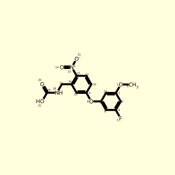 COc1cc(F)cc(Oc2ccc([N+](=O)[O-])c(CNC(=O)O)c2)c1